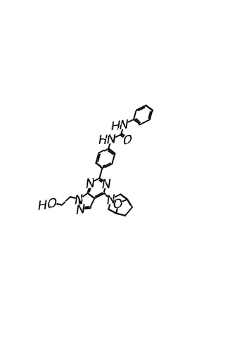 O=C(Nc1ccccc1)Nc1ccc(-c2nc(N3CC4CCC(C3)O4)c3cnn(CCO)c3n2)cc1